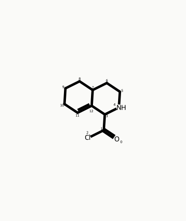 O=C(Cl)C1NCCC2CCCC=C21